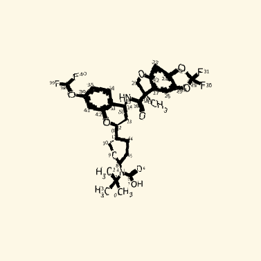 CC(C)(C)N(C(=O)O)[C@H]1CC[C@H]([C@@H]2C[C@H](NC(=O)[C@@]3(C)COc4cc5c(cc43)OC(F)(F)O5)c3ccc(OC(F)F)cc3O2)CC1